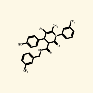 CC(=O)C1=C(C)N(c2cccc(C(F)(F)F)c2)C(=O)C(C(=O)NCc2cccc(C(F)(F)F)c2)C1c1ccc(C#N)cc1